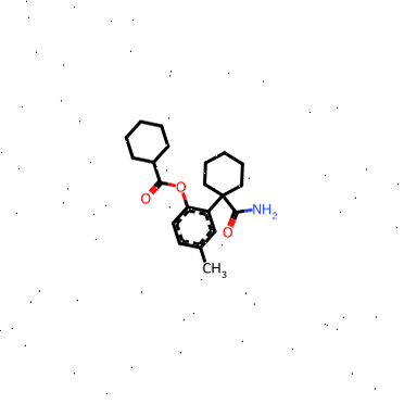 Cc1ccc(OC(=O)C2CCCCC2)c(C2(C(N)=O)CCCCC2)c1